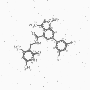 Cc1cc(C)c(CNC(=O)c2cc(-c3cc(F)cc(F)c3)cc3c2c(C)cn3C(C)C)c(=O)[nH]1